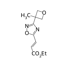 CCOC(=O)/C=C/c1nc(C2(C)COC2)no1